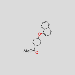 COC(=O)C1CCC(Oc2cccc3ccccc23)CC1